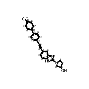 OC1CCN(c2nc3cc(C#Cc4ccc(-c5ccc(Cl)cc5)cn4)ccc3[nH]2)C1